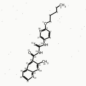 CCCCCOc1ccc(NC(=S)NC(=O)c2cc3cccnc3nc2C)cn1